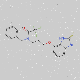 O=C(N(CCCOc1cccc2[nH]c(=S)[nH]c12)Cc1ccccc1)C(F)(F)F